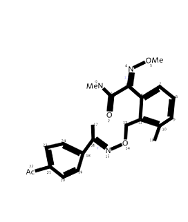 CNC(=O)/C(=N/OC)c1cccc(C)c1CO/N=C(\C)c1ccc(C(C)=O)cc1